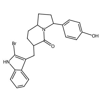 O=C1C(Cc2c(Br)[nH]c3ccccc23)CCC2CCC(c3ccc(O)cc3)N12